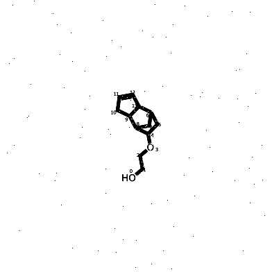 OCCOC1CC2CC1C1CC=CC21